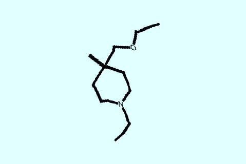 CCOCC1(C)CCN(CC)CC1